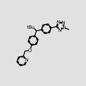 Cn1nnc(-c2ccc(C(c3ccc(OCc4ccccn4)cc3)C(C)(C)C)cc2)n1